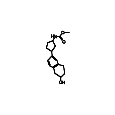 COC(=O)NC1CCC(c2ccc3c(c2)CCC(O)C3)C1